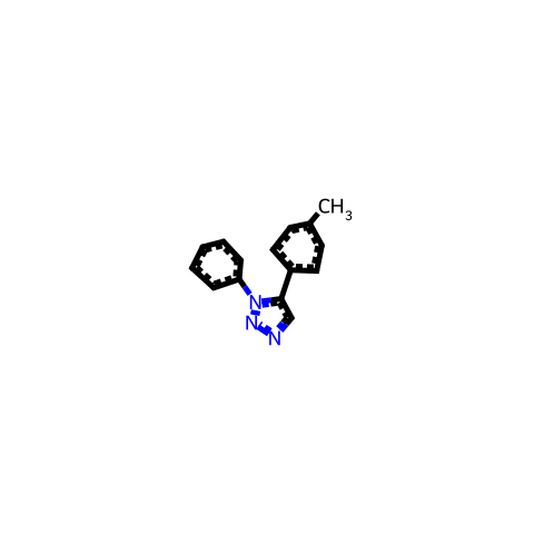 Cc1ccc(-c2cnnn2-c2ccccc2)cc1